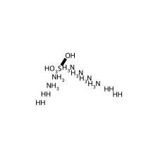 N.N.N.N.N.N.O=S(=O)(O)O.[HH].[HH].[HH].[HH]